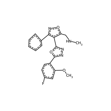 CNCc1onc(-c2ccccc2)c1-c1nnc(-c2ccc(F)cc2OC)o1